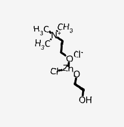 C[N+](C)(C)CC[O][Zn]([Cl])[O]CCO.[Cl-]